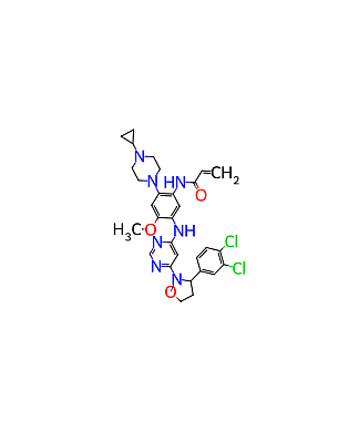 C=CC(=O)Nc1cc(Nc2cc(N3OCCC3c3ccc(Cl)c(Cl)c3)ncn2)c(OC)cc1N1CCN(C2CC2)CC1